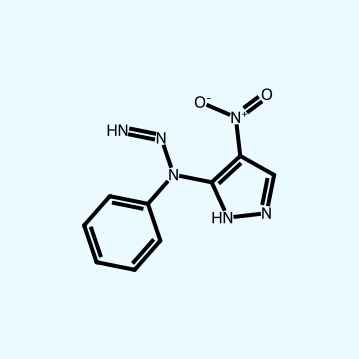 N=NN(c1ccccc1)c1[nH]ncc1[N+](=O)[O-]